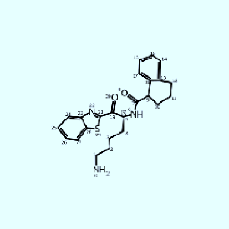 NCCCC[C@H](NC(=O)C1CCCc2ccccc21)C(=O)c1nc2ccccc2s1